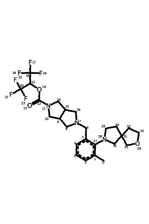 Cc1cccc(CN2CC3CN(C(=O)OC(C(F)(F)F)C(F)(F)F)CC3C2)c1N1CCC2(CCOC2)C1